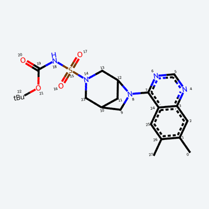 Cc1cc2ncnc(N3CC4CC3CN(S(=O)(=O)NC(=O)OC(C)(C)C)C4)c2cc1C